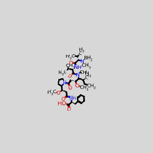 BN(C)[C@H](C(=O)N[C@H](C(=O)N(C)[C@@H]([C@@H](C)CC)[C@@H](CC(=O)N1CCCC1[C@@H](CC(=O)N[C@@H](Cc1ccccc1)C(=O)O)OC)OC)C(C)C)C(C)C